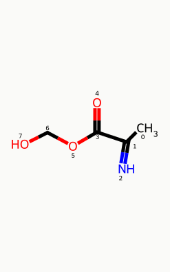 CC(=N)C(=O)OCO